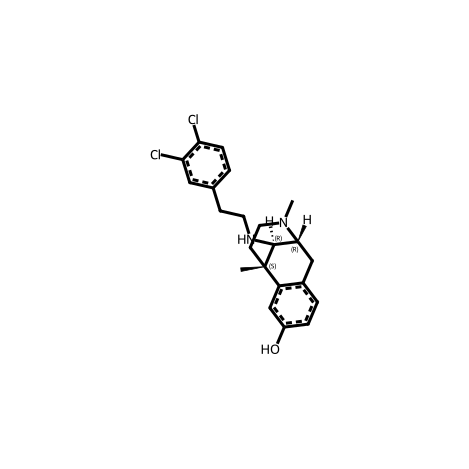 CN1CC[C@@]2(C)c3cc(O)ccc3C[C@@H]1[C@@H]2NCCc1ccc(Cl)c(Cl)c1